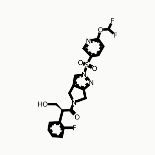 O=C([C@H](CO)c1ccccc1F)N1Cc2cn(S(=O)(=O)c3ccc(OC(F)F)nc3)nc2C1